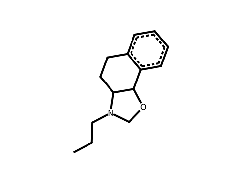 CCCN1COC2c3ccccc3CCC21